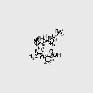 Cc1nc(-c2nnn(C)c2CNc2nccc(OCC3(F)CC3)n2)ccc1O[C@H]1CCC[C@H](C(=O)O)C1